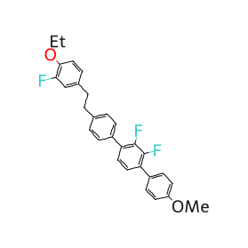 CCOc1ccc(CCc2ccc(-c3ccc(-c4ccc(OC)cc4)c(F)c3F)cc2)cc1F